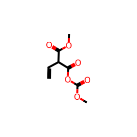 C=CC(C(=O)OC)C(=O)OC(=O)OC